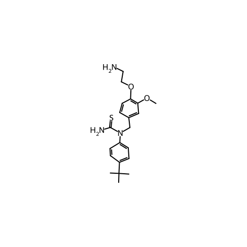 COc1cc(CN(C(N)=S)c2ccc(C(C)(C)C)cc2)ccc1OCCN